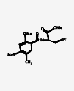 COC(=O)[C@@H](CC(C)C)NC(=O)C1CC(C)=C(SC)C=C1OC